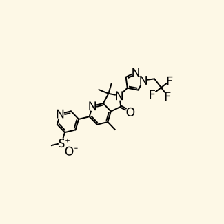 Cc1cc(-c2cncc([S+](C)[O-])c2)nc2c1C(=O)N(c1cnn(CC(F)(F)F)c1)C2(C)C